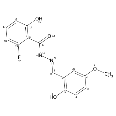 COc1ccc(O)c(C=NNC(=O)c2c(O)cccc2F)c1